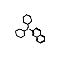 c1ccc2cc(P(C3CCCCC3)C3CCCCC3)ccc2c1